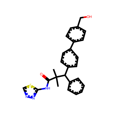 CC(C)(C(=O)Nc1nncs1)C(c1ccccc1)c1ccc(-c2ccc(CO)cc2)cc1